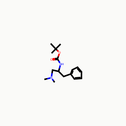 CN(C)CC(Cc1ccccc1)NC(=O)OC(C)(C)C